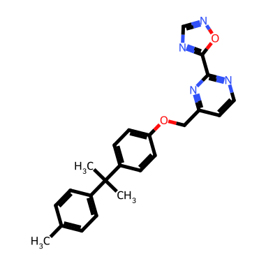 Cc1ccc(C(C)(C)c2ccc(OCc3ccnc(-c4ncno4)n3)cc2)cc1